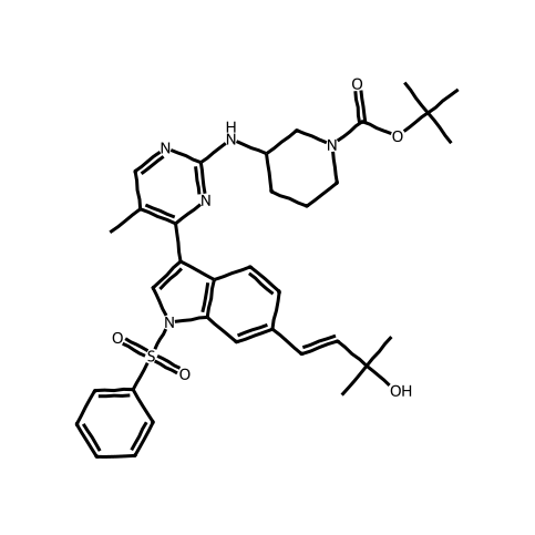 Cc1cnc(NC2CCCN(C(=O)OC(C)(C)C)C2)nc1-c1cn(S(=O)(=O)c2ccccc2)c2cc(/C=C/C(C)(C)O)ccc12